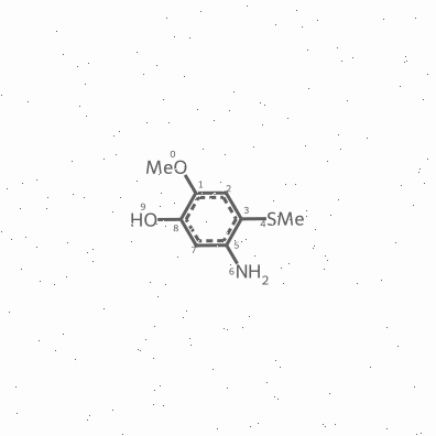 COc1cc(SC)c(N)cc1O